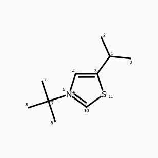 CC(C)c1c[n+](C(C)(C)C)cs1